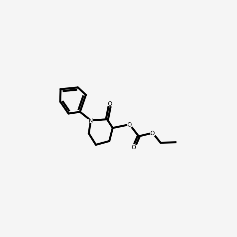 CCOC(=O)OC1CCCN(c2ccccc2)C1=O